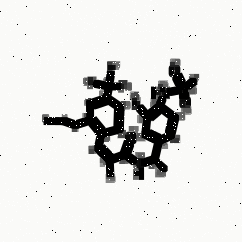 CCCc1cc(C(F)(F)F)ccc1C=C(C)C(=O)N[C@H](C)c1ccc(NS(C)(=O)=O)c(F)c1